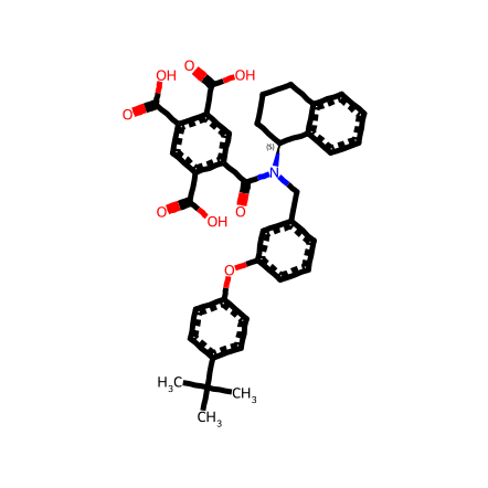 CC(C)(C)c1ccc(Oc2cccc(CN(C(=O)c3cc(C(=O)O)c(C(=O)O)cc3C(=O)O)[C@H]3CCCc4ccccc43)c2)cc1